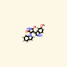 COc1ccc2[nH]cc(C3=C(n4ccc5ccccc54)C(=O)NC3=O)c2c1